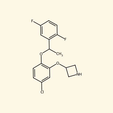 CC(Oc1ccc(Cl)cc1OC1CNC1)c1cc(F)ccc1F